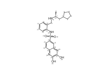 C[C@@H](CC1CCCC1)NCc1ccccc1NS(=O)(=O)c1ccc2nc(O)c(O)nc2c1